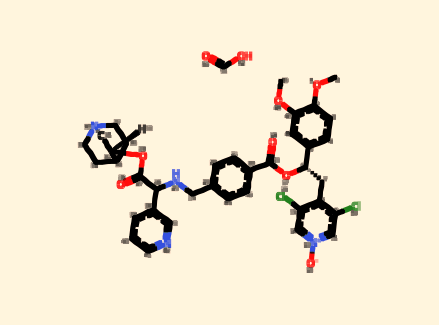 COc1ccc([C@H](Cc2c(Cl)c[n+]([O-])cc2Cl)OC(=O)c2ccc(CNC(C(=O)O[C@H]3CN4CCC3CC4)c3cccnc3)cc2)cc1OC.O=CO